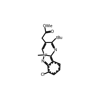 COC(=O)CC1=C[N+]2(C)N=c3c(Cl)cccc3=C2N=C1C(C)(C)C